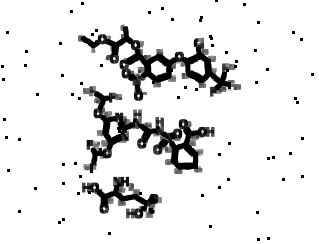 CCOC(=O)C(C)OC(=O)c1cc(Oc2ccc(C(F)(F)F)cc2Cl)ccc1[N+](=O)[O-].CP(=O)(O)CCC(N)C(=O)O.O=C(Nc1nc(OC(F)F)cc(OC(F)F)n1)NS(=O)(=O)c1ccccc1C(=O)O